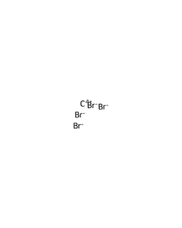 [Br-].[Br-].[Br-].[Br-].[C+4]